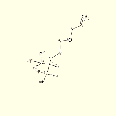 C=CCOCCCC(F)(C(F)(F)F)C(F)(F)F